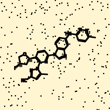 Cc1ccc(Nc2ccc3c(c2)ncn3-c2ccc([C@H]3C[C@@H](F)CO3)c(-n3nc(C#N)cc3C)n2)nn1